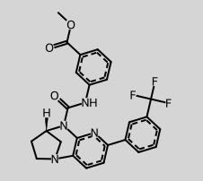 COC(=O)c1cccc(NC(=O)N2c3nc(-c4cccc(C(F)(F)F)c4)ccc3N3CC[C@H]2C3)c1